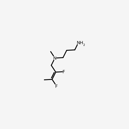 C/C(F)=C(/F)CN(C)CCCN